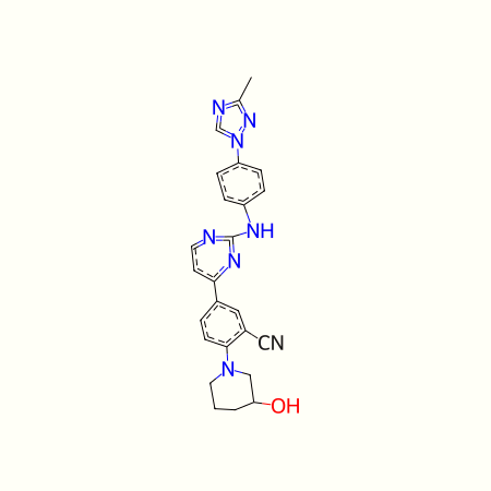 Cc1ncn(-c2ccc(Nc3nccc(-c4ccc(N5CCCC(O)C5)c(C#N)c4)n3)cc2)n1